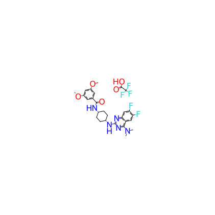 COc1cc(OC)cc(C(=O)N[C@H]2CC[C@@H](Nc3nc(N(C)C)c4cc(F)c(F)cc4n3)CC2)c1.O=C(O)C(F)(F)F